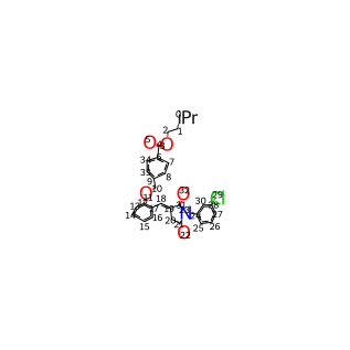 CC(C)CCOC(=O)c1ccc(COc2ccccc2/C=C2\CC(=O)N(c3cccc(Cl)c3)C2=O)cc1